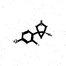 Fc1cc(C(F)(F)F)ccc1C12CNC[C@H]1C2